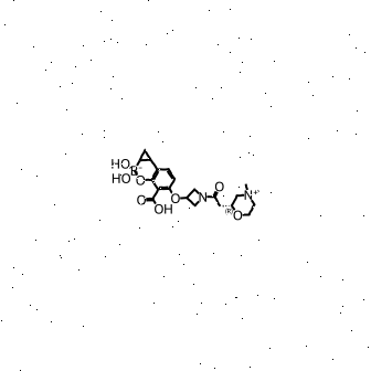 C[N+]1(C)CCO[C@H](CC(=O)N2CC(Oc3ccc4c(c3C(=O)O)O[B-](O)(O)C3CC43)C2)C1